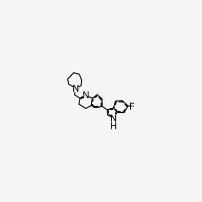 Fc1ccc2c(-c3ccc4c(c3)CCC(CN3CCCCCC3)=N4)c[nH]c2c1